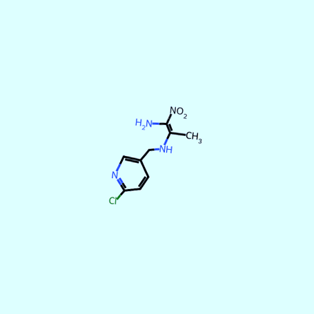 CC(NCc1ccc(Cl)nc1)=C(N)[N+](=O)[O-]